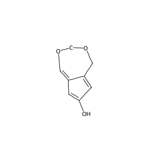 OC1=CC2=COCOCC2=C1